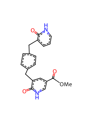 COC(=O)c1c[nH]c(=O)c(Cc2ccc(Cc3ccc[nH]c3=O)cc2)c1